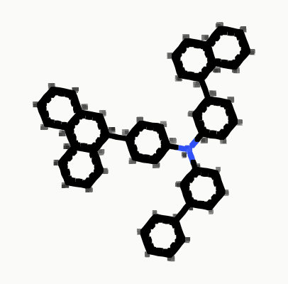 c1ccc(-c2cccc(N(c3ccc(-c4cc5ccccc5c5ccccc45)cc3)c3cccc(-c4cccc5ccccc45)c3)c2)cc1